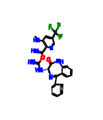 CNc1cc(C(F)(F)F)cnc1C(=N)OC(=N)N[C@H]1N=C(c2ccccc2)c2ccccc2NC1=O